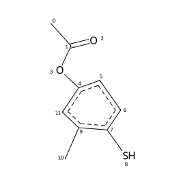 CC(=O)Oc1ccc(S)c(C)c1